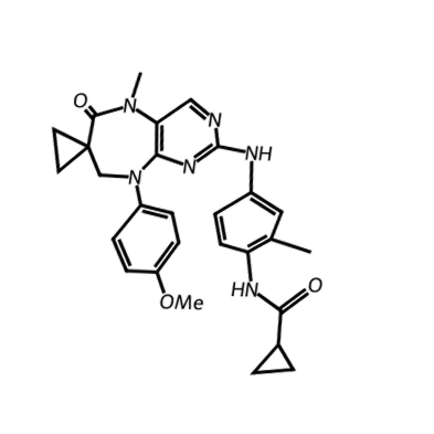 COc1ccc(N2CC3(CC3)C(=O)N(C)c3cnc(Nc4ccc(NC(=O)C5CC5)c(C)c4)nc32)cc1